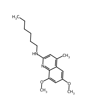 CCCCCCNc1cc(C)c2cc(OC)cc(OC)c2n1